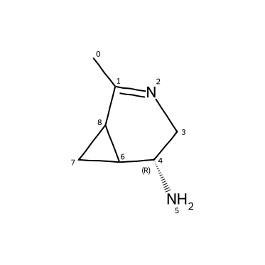 CC1=NC[C@H](N)C2CC12